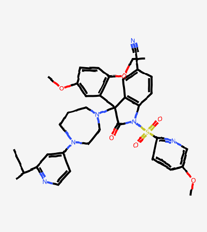 CCOc1ccc(OC)cc1C1(N2CCCN(c3ccnc(C(C)C)c3)CC2)C(=O)N(S(=O)(=O)c2ccc(OC)cn2)c2ccc(C#N)cc21